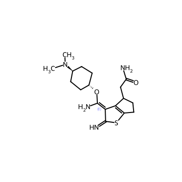 CN(C)[C@H]1CC[C@H](O/C(N)=C2/C(=N)SC3=C2C(CC(N)=O)CC3)CC1